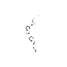 COCCc1nc(-c2ccc3nnc(Sc4ccc5nc(NC(=O)C6CC6)cn5n4)n3c2)n[nH]1